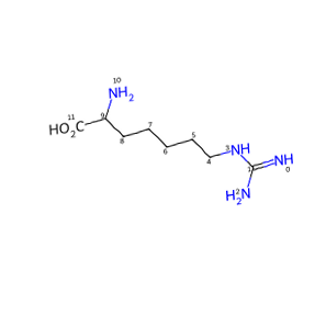 N=C(N)NCCCCCC(N)C(=O)O